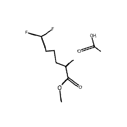 CC(=O)O.COC(=O)C(C)CCCC(F)F